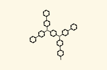 Cc1ccc(-c2ccc(N(c3ccc(-c4ccccc4)cc3)c3ccc(N(c4ccc(-c5ccccc5)cc4)c4ccc(-c5ccccc5)cc4)cc3)cc2)cc1